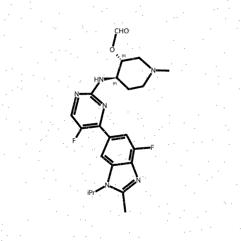 Cc1nc2c(F)cc(-c3nc(N[C@@H]4CCN(C)C[C@H]4OC=O)ncc3F)cc2n1C(C)C